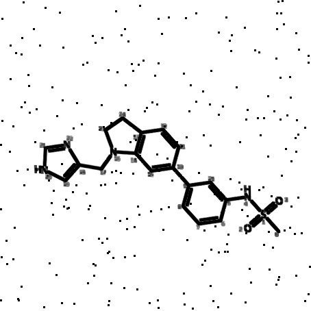 CS(=O)(=O)Nc1cccc(-c2ccc3c(c2)N(Cc2c[nH]cn2)CC3)c1